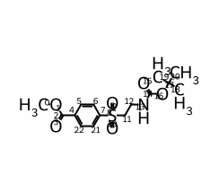 COC(=O)c1ccc(S(=O)(=O)CCNC(=O)OC(C)(C)C)cc1